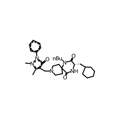 CCCCN1C(=O)[C@H](CC2CCCCC2)NC(=O)C12CCN(Cc1c(C)n(C)n(-c3ccccc3)c1=O)CC2